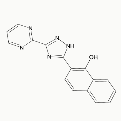 Oc1c(-c2nc(-c3ncccn3)n[nH]2)ccc2ccccc12